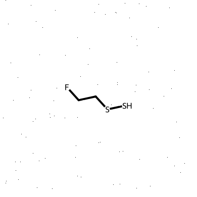 FCCSS